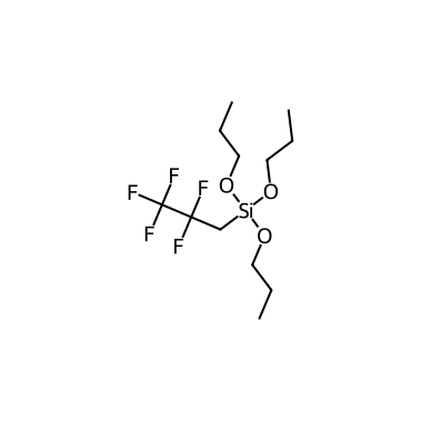 CCCO[Si](CC(F)(F)C(F)(F)F)(OCCC)OCCC